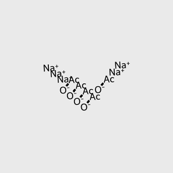 CC(=O)[O-].CC(=O)[O-].CC(=O)[O-].CC(=O)[O-].CC(=O)[O-].[Na+].[Na+].[Na+].[Na+].[Na+]